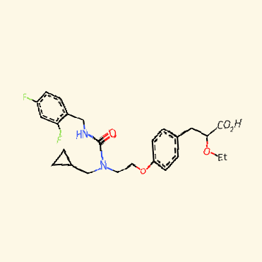 CCOC(Cc1ccc(OCCN(CC2CC2)C(=O)NCc2ccc(F)cc2F)cc1)C(=O)O